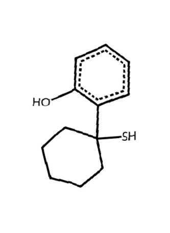 Oc1ccccc1C1(S)CCCCC1